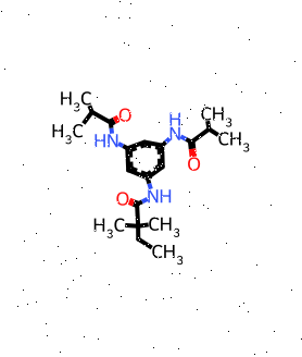 CCC(C)(C)C(=O)Nc1cc(NC(=O)C(C)C)cc(NC(=O)C(C)C)c1